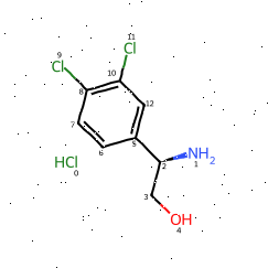 Cl.N[C@@H](CO)c1ccc(Cl)c(Cl)c1